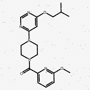 COc1cccc(C(=O)N2CCN(c3cc(OCC(C)C)ncn3)CC2)n1